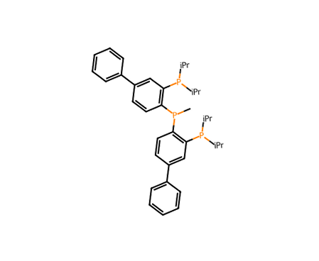 CC(C)P(c1cc(-c2ccccc2)ccc1P(C)c1ccc(-c2ccccc2)cc1P(C(C)C)C(C)C)C(C)C